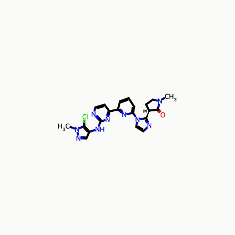 CN1CC[C@H](c2nccn2-c2cccc(-c3ccnc(Nc4cnn(C)c4Cl)n3)n2)C1=O